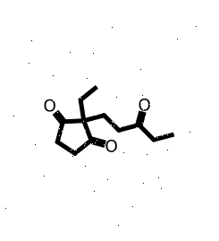 CCC(=O)CCC1(CC)C(=O)CCC1=O